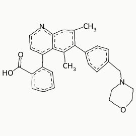 Cc1cc2nccc(-c3ccccc3C(=O)O)c2c(C)c1-c1ccc(CN2CCOCC2)cc1